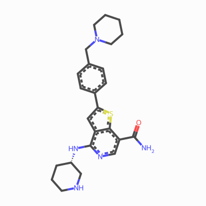 NC(=O)c1cnc(N[C@H]2CCCNC2)c2cc(-c3ccc(CN4CCCCC4)cc3)sc12